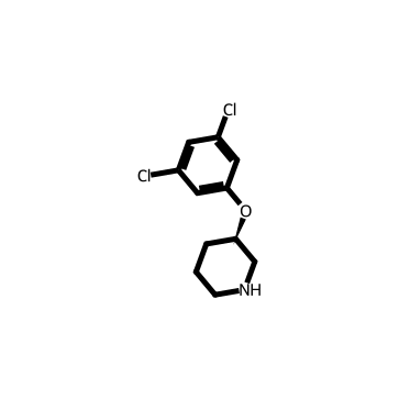 Clc1cc(Cl)cc(O[C@@H]2CCCNC2)c1